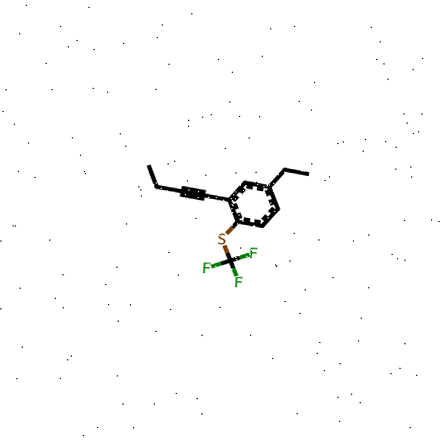 CCC#Cc1cc(CC)ccc1SC(F)(F)F